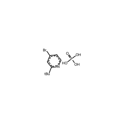 CC(C)(C)c1cc(Br)ccn1.O=P(O)(O)O